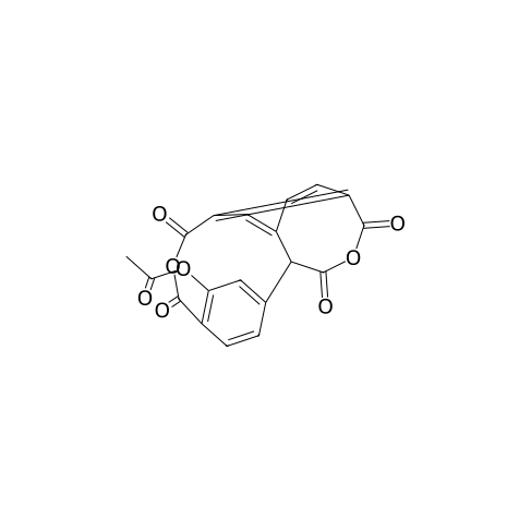 CC(=O)Oc1cc2ccc1C(=O)OC(=O)c1cc3ccc1C(=O)OC(=O)C23